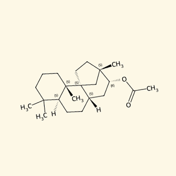 CC(=O)O[C@@H]1C[C@@H]2CC[C@H]3C(C)(C)CCC[C@]3(C)[C@]23CC[C@@]1(C)C3